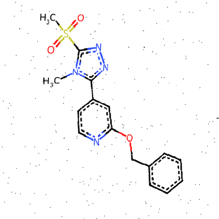 Cn1c(-c2ccnc(OCc3ccccc3)c2)nnc1S(C)(=O)=O